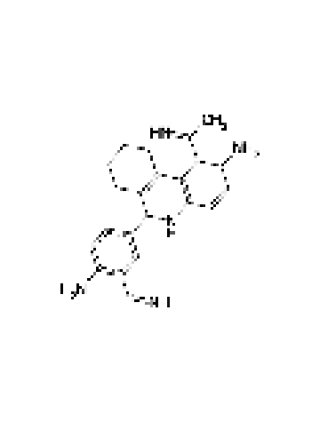 CC(=N)C1C2=C(C=CC1N)NC(c1ccc(N)c(C=N)c1)C1=C2CCCC1